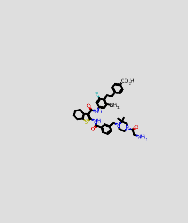 Bc1cc(NC(=O)c2c(NC(=O)c3cccc(CN4CCN(C(=O)CN)CC4(C)C)c3)sc3c2CCCC3)cc(F)c1CCc1ccc(C(=O)O)cc1